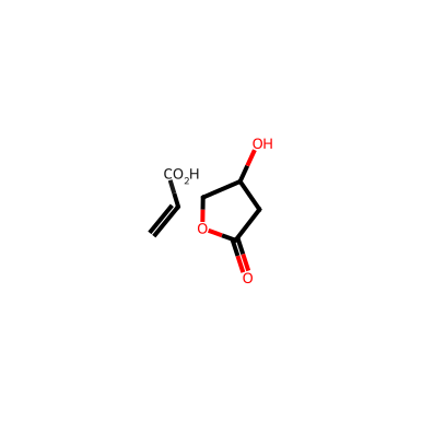 C=CC(=O)O.O=C1CC(O)CO1